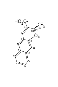 O=C(O)C1=Cc2cc3ccccc3cc2O[C@@H]1C(F)(F)F